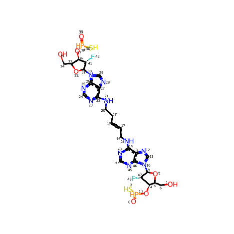 O=[PH](S)O[C@@H]1C(CO)OC(n2cnc3c(NC/C=C/CCNc4ncnc5c4ncn5C4OC(CO)[C@@H](O[PH](=O)S)[C@H]4F)ncnc32)[C@@H]1F